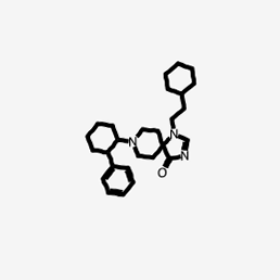 O=C1N=CN(CCC2CCCCC2)C12CCN(C1CCCCC1c1ccccc1)CC2